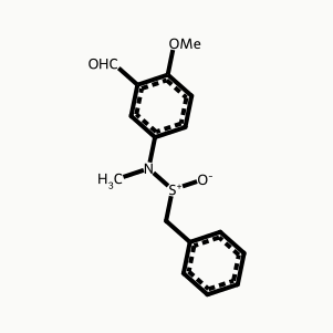 COc1ccc(N(C)[S+]([O-])Cc2ccccc2)cc1C=O